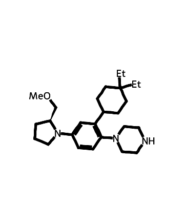 CCC1(CC)CCC(c2cc(N3CCC[C@H]3COC)ccc2N2CCNCC2)CC1